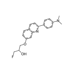 CN(C)c1ccc(-c2ccc3ccc(OCC(O)CF)cc3n2)cc1